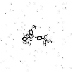 CCCNC(=O)c1ccc(CCN2C(=O)C(c3cccc(C)c3)NC23CCC(C(C)C)CC3)cc1